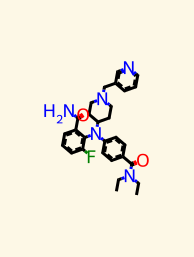 CCN(CC)C(=O)c1ccc(N(c2c(F)cccc2C(N)=O)C2CCN(Cc3cccnc3)CC2)cc1